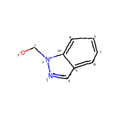 [O]Cn1ncc2ccccc21